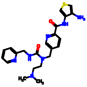 CN(C)CCN(Cc1ccc(C(=O)Nc2cscc2N)nc1)C(=O)NCc1ccccn1